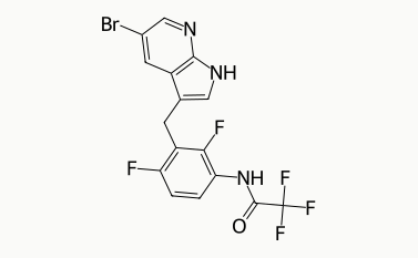 O=C(Nc1ccc(F)c(Cc2c[nH]c3ncc(Br)cc23)c1F)C(F)(F)F